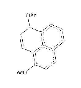 CC(=O)Oc1ccc2cccc3c2c1C=CC3OC(C)=O